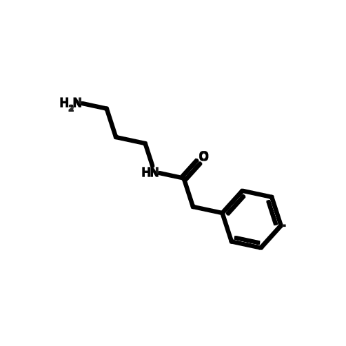 NCCCNC(=O)Cc1cc[c]cc1